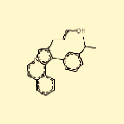 CC(C)c1cccc(-c2c(CC=CO)cn3ccc4ccccc4c23)c1